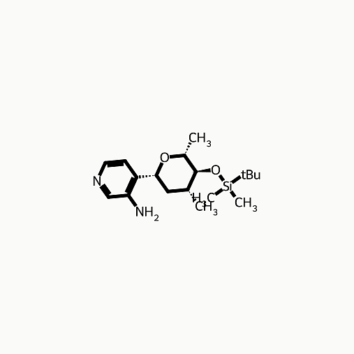 C[C@@H]1C[C@H](c2ccncc2N)O[C@H](C)[C@H]1O[Si](C)(C)C(C)(C)C